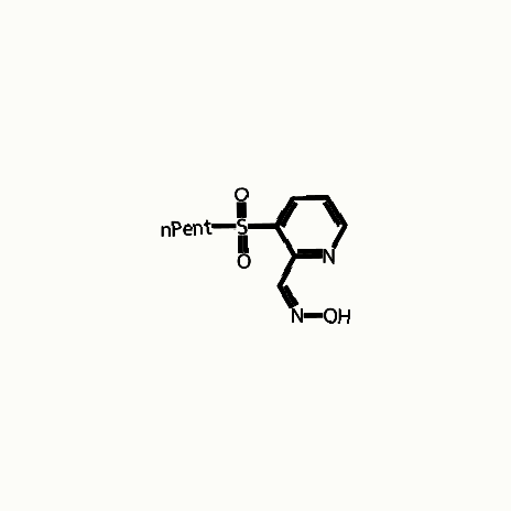 CCCCCS(=O)(=O)c1cccnc1/C=N\O